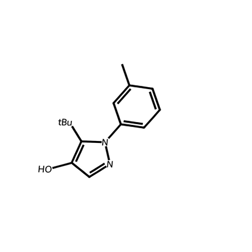 Cc1cccc(-n2ncc(O)c2C(C)(C)C)c1